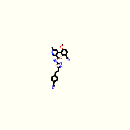 COc1ccc(C#N)cc1-c1cc(C)ncc1C(=O)Nc1nnc(CCc2ccc(C#N)cc2)s1